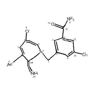 CC(=O)c1cc(Cl)cn(Cc2cc(Cl)cc(C(N)=O)c2)c1=N